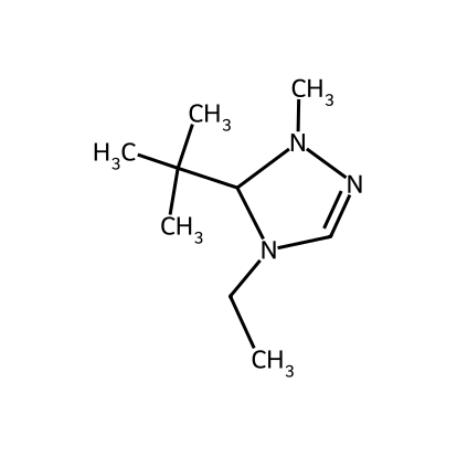 CCN1C=NN(C)C1C(C)(C)C